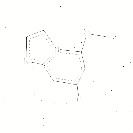 COc1cc(Cl)cc2nccn12